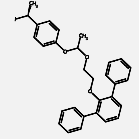 CC(OCCOc1c(-c2ccccc2)cccc1-c1ccccc1)Oc1ccc([C@H](C)I)cc1